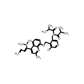 C=C/C=C(/c1cc(C)nc2c(OCc3c(Cl)cncc3CN(C(=O)C(C)C)C(=O)C(C)C)cccc12)N(C)C